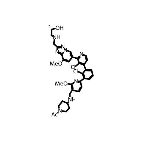 COc1nc(-c2cccc(-c3ccnc(-c4cc(OC)c5nc(CNC[C@H](C)O)nn5c4)c3Cl)c2Cl)ccc1CNC1CCN(C(C)=O)CC1